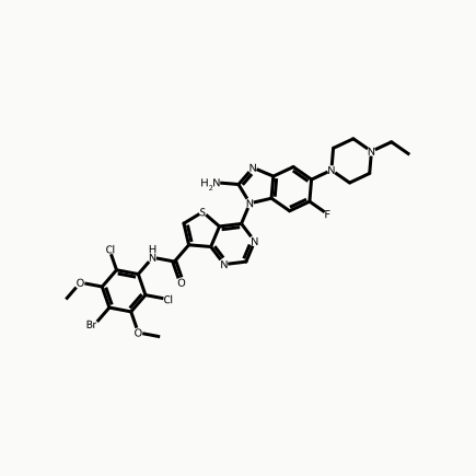 CCN1CCN(c2cc3nc(N)n(-c4ncnc5c(C(=O)Nc6c(Cl)c(OC)c(Br)c(OC)c6Cl)csc45)c3cc2F)CC1